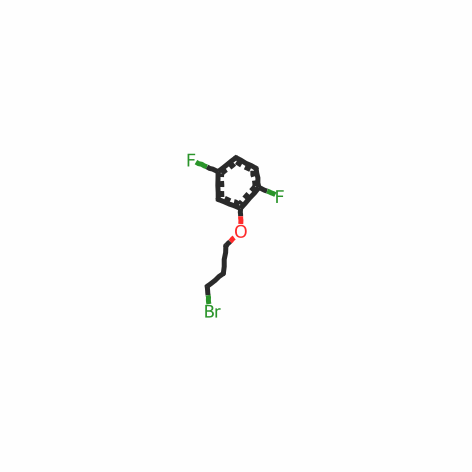 Fc1ccc(F)c(OCCCBr)c1